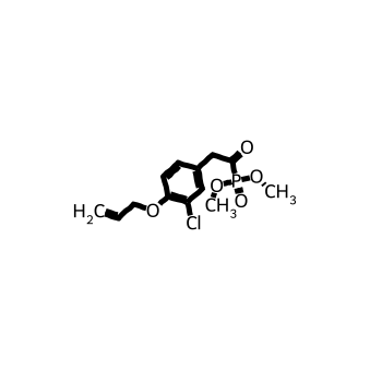 C=CCOc1ccc(CC(=O)P(=O)(OC)OC)cc1Cl